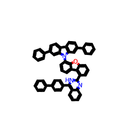 c1ccc(-c2ccc(C3=c4ccccc4=NC(c4cccc5oc6c(-n7c8cc(-c9ccccc9)ccc8c8ccc(-c9ccccc9)cc87)cccc6c45)N3)cc2)cc1